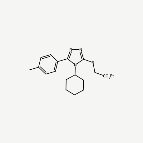 CCOC(=O)CSc1nnc(-c2ccc(C)cc2)n1C1CCCCC1